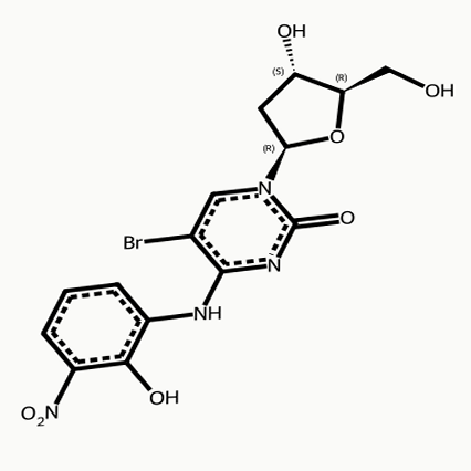 O=c1nc(Nc2cccc([N+](=O)[O-])c2O)c(Br)cn1[C@H]1C[C@H](O)[C@@H](CO)O1